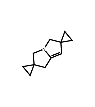 C1=C2CC3(CC3)CN2CC12CC2